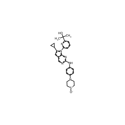 CC(C)(O)c1cccc(-n2c(C3CC3)cc3cnc(Nc4ccc(N5CC[S+]([O-])CC5)cc4)nc32)n1